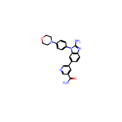 NC(=O)c1cncc(-c2ccc3nc(N)n(-c4ccc(N5CCOCC5)cc4)c3c2)c1